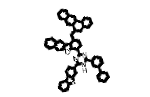 c1ccc(-c2cccc(C3=NC(c4ccc(CC5Cc6ccccc6-c6cc7ccccc7cc65)c5c4oc4cc6ccccc6cc45)=NC(c4ccc5c(c4)sc4ccccc45)N3)c2)cc1